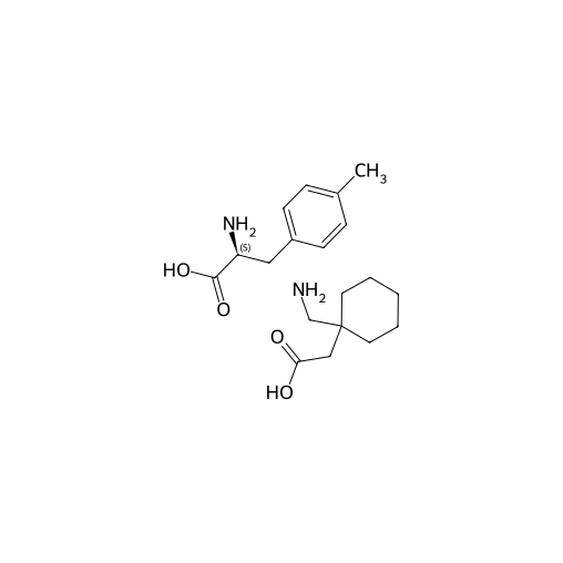 Cc1ccc(C[C@H](N)C(=O)O)cc1.NCC1(CC(=O)O)CCCCC1